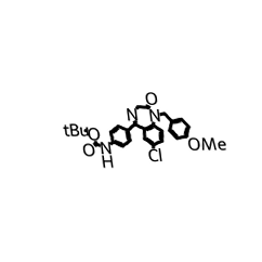 COc1ccc(CN2C(=O)CN=C(c3ccc(NC(=O)OC(C)(C)C)cc3)c3cc(Cl)ccc32)cc1